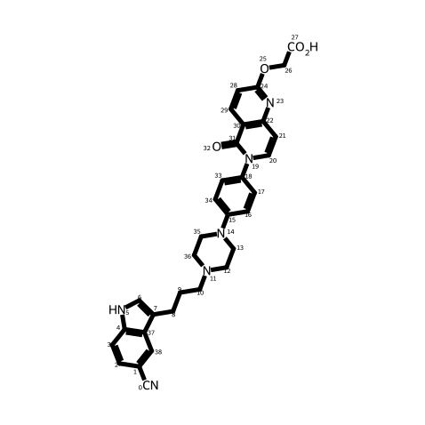 N#Cc1ccc2[nH]cc(CCCN3CCN(c4ccc(-n5ccc6nc(OCC(=O)O)ccc6c5=O)cc4)CC3)c2c1